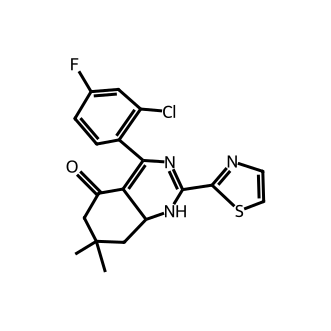 CC1(C)CC(=O)C2=C(c3ccc(F)cc3Cl)N=C(c3nccs3)NC2C1